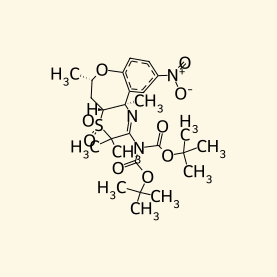 C[C@H]1C[C@@H]2[C@](C)(N=C(N(C(=O)OC(C)(C)C)C(=O)OC(C)(C)C)C(C)(C)S2(=O)=O)c2cc([N+](=O)[O-])ccc2O1